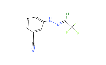 N#Cc1cccc(NN=C(Cl)C(F)(F)F)c1